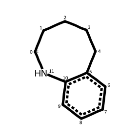 [C]1CCCCc2ccccc2N1